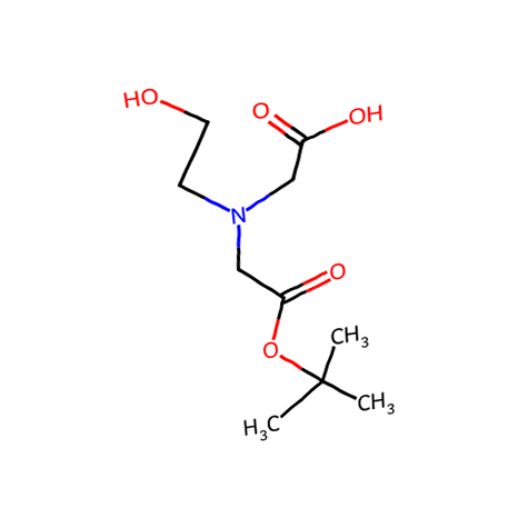 CC(C)(C)OC(=O)CN(CCO)CC(=O)O